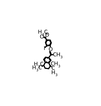 COC(=O)c1ccc(OC=C(C)c2ccc3c(c2)C(C)(C)CCC3(C)C)c(I)c1